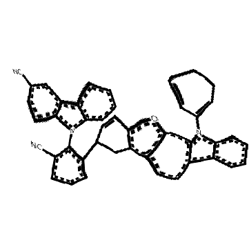 N#Cc1ccc2c(c1)c1ccccc1n2-c1c(C#N)cccc1C1C=Cc2oc3c(ccc4c5ccccc5n(C5=CCCC=C5)c43)c2C1